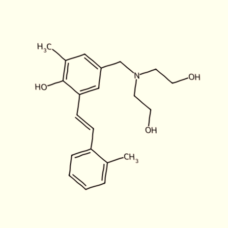 Cc1ccccc1/C=C/c1cc(CN(CCO)CCO)cc(C)c1O